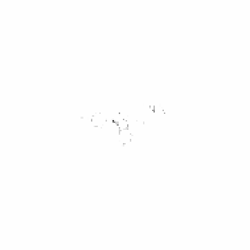 O=CN1CCC(c2nn(-c3ccc(F)cc3)c3ccccc23)CC1